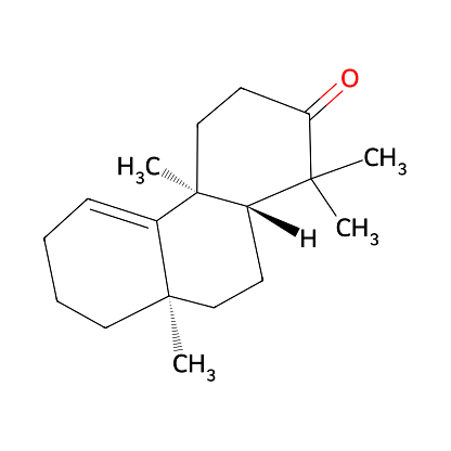 CC1(C)C(=O)CC[C@]2(C)C3=CCCC[C@]3(C)CC[C@@H]12